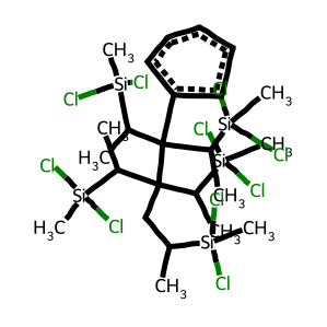 CC(CC(C(C)[Si](C)(Cl)Cl)(C(C)[Si](C)(Cl)Cl)C(c1ccccc1)(C(C)[Si](C)(Cl)Cl)C(C)[Si](C)(Cl)Cl)[Si](C)(Cl)Cl